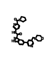 O=C(Nc1ccc(C(=O)N2CCCC2)nc1)c1n[nH]c2ccc(-c3cncc(CN4CCOCC4)c3)cc12